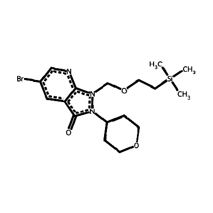 C[Si](C)(C)CCOCn1c2ncc(Br)cc2c(=O)n1C1CCOCC1